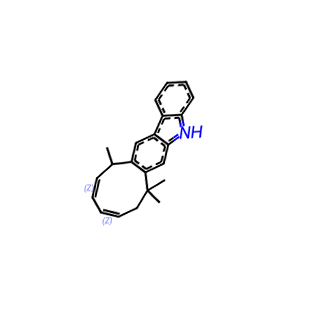 CC1/C=C\C=C/CC(C)(C)c2cc3[nH]c4ccccc4c3cc21